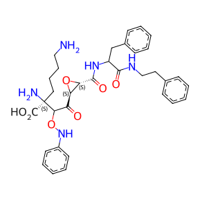 NCCCC[C@@](N)(C(=O)O)C(ONc1ccccc1)C(=O)[C@H]1O[C@@H]1C(=O)NC(Cc1ccccc1)C(=O)NCCc1ccccc1